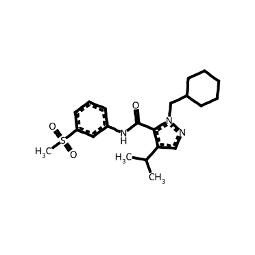 CC(C)c1cnn(CC2CCCCC2)c1C(=O)Nc1cccc(S(C)(=O)=O)c1